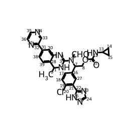 CC(NC(=N)N(C=O)C(COC(=O)NC1CC1)c1ccc(Cl)c(-c2ncn[nH]2)c1)c1ccc(-c2cnccn2)cc1